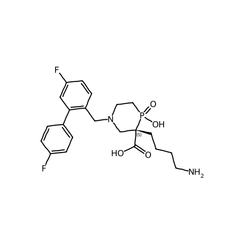 NCCCC[C@@]1(C(=O)O)CN(Cc2ccc(F)cc2-c2ccc(F)cc2)CCP1(=O)O